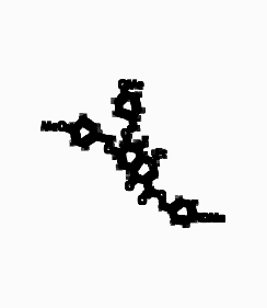 CCn1cc(C(=O)OCc2ccc(OC)cc2)c(=O)c2cc(OCc3ccc(OC)cc3)c(OCc3ccc(OC)cc3)c(F)c21